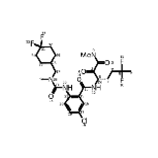 CNC(=O)C(=O)[C@H](CCC(C)(F)F)NC(=O)c1cc(Cl)ccc1NC(=O)N(C)CC1CCC(F)(F)CC1